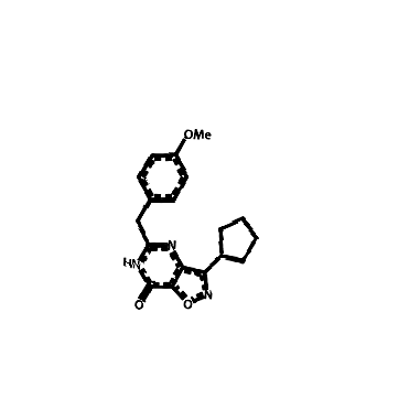 COc1ccc(Cc2nc3c(C4CCCC4)noc3c(=O)[nH]2)cc1